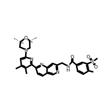 Cc1ccc(C(=O)NCc2cc3nc(-c4nc(N5C[C@@H](C)O[C@@H](C)C5)cc(C)c4C)ccc3cn2)cc1S(C)(=O)=O